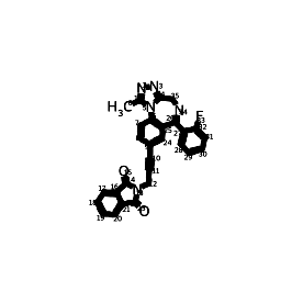 Cc1nnc2n1-c1ccc(C#CCN3C(=O)c4ccccc4C3=O)cc1C(c1ccccc1F)=NC2